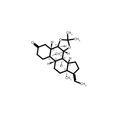 C/C=C1\CC[C@H]2[C@@H]3[C@H]4OC(C)(C)O[C@@H]4[C@H]4CC(=O)CC[C@]4(C)[C@H]3CC[C@]12C